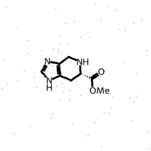 COC(=O)[C@@H]1Cc2[nH]cnc2CN1